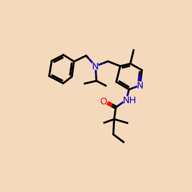 CCC(C)(C)C(=O)Nc1cc(CN(Cc2ccccc2)C(C)C)c(C)cn1